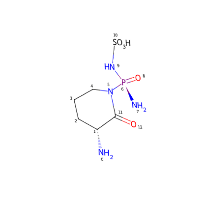 N[C@@H]1CCCN([P@@](N)(=O)NS(=O)(=O)O)C1=O